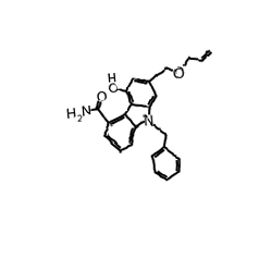 C=CCOCc1cc(O)c2c3c(C(N)=O)cccc3n(Cc3ccccc3)c2c1